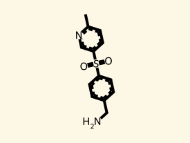 Cc1ccc(S(=O)(=O)c2ccc(CN)cc2)cn1